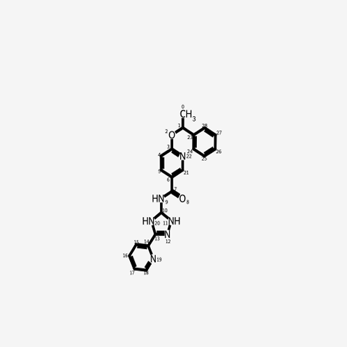 CC(Oc1ccc(C(=O)NC2NN=C(c3ccccn3)N2)cn1)c1ccccc1